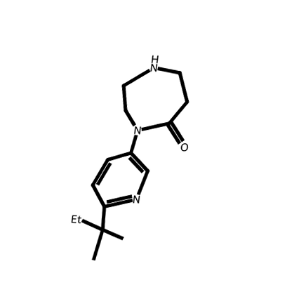 CCC(C)(C)c1ccc(N2CCNCCC2=O)cn1